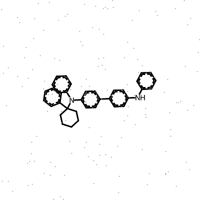 c1ccc(Nc2ccc(-c3ccc(N(c4ccccc4)C4(c5ccccc5)CCCCC4)cc3)cc2)cc1